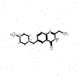 CCc1nc2ccc(CN3CCN(C)CC3)cc2c(=O)[nH]1